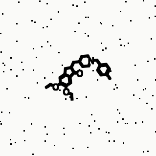 CCOc1cc2c(cc1OCC)C(=O)C(CC1CCN(Cc3ccc(C)cc3)CC1)C2